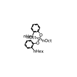 CCCCCCC[CH2][Sn]([CH2]CCCCCCC)([O]c1ccccc1CCCCCC)[O]c1ccccc1CCCCCC